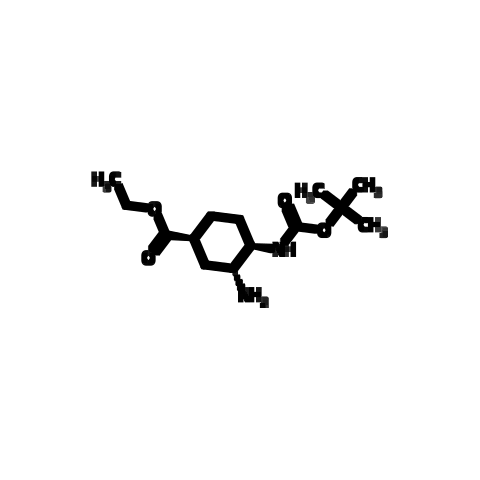 CCOC(=O)[C@H]1CC[C@@H](NC(=O)OC(C)(C)C)[C@H](N)C1